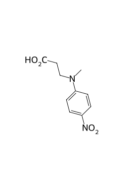 CN(CCC(=O)O)c1ccc([N+](=O)[O-])cc1